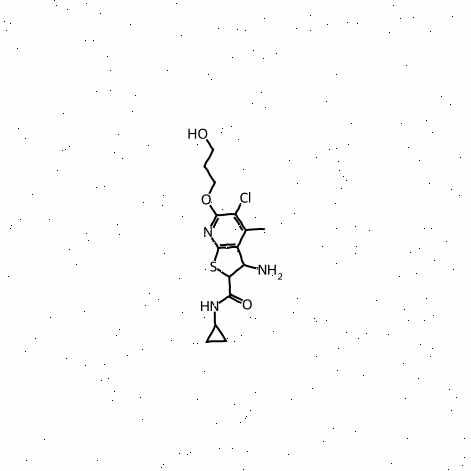 Cc1c(Cl)c(OCCCO)nc2c1C(N)C(C(=O)NC1CC1)S2